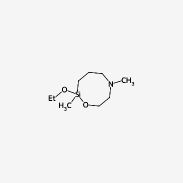 CCO[Si]1(C)CCCN(C)CCO1